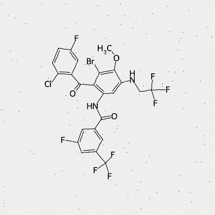 COc1c(NCC(F)(F)F)cc(NC(=O)c2cc(F)cc(C(F)(F)F)c2)c(C(=O)c2cc(F)ccc2Cl)c1Br